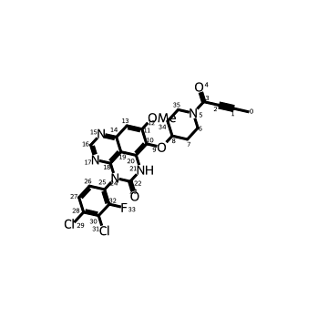 CC#CC(=O)N1CCC(Oc2c(OC)cc3ncnc4c3c2NC(=O)N4c2ccc(Cl)c(Cl)c2F)CC1